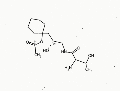 CC(O)C(N)C(=O)NC[C@H](O)CC1(O[PH](C)=O)CCCCC1